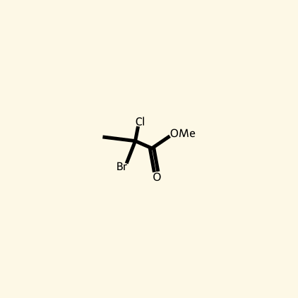 COC(=O)C(C)(Cl)Br